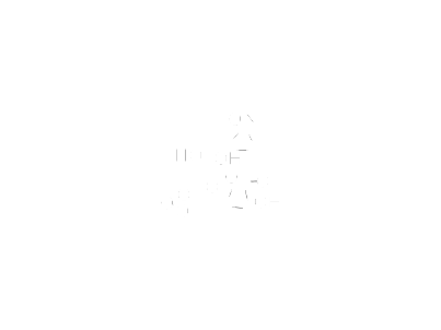 COC(=O)OC[C@@H]1C[C@H](O)[C@@H](O)C(Oc2cc(C)cc(O)c2C(=O)CCc2ccc3occc3c2)O1